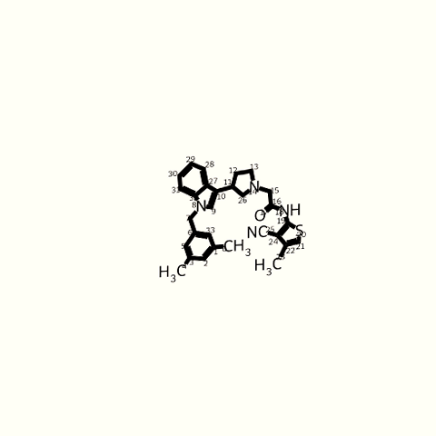 Cc1cc(C)cc(Cn2cc(C3CCN(CC(=O)Nc4scc(C)c4C#N)C3)c3ccccc32)c1